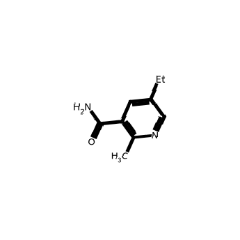 CCc1cnc(C)c(C(N)=O)c1